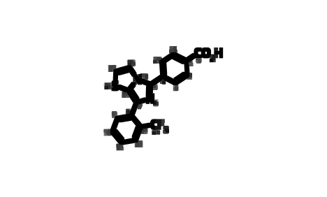 O=C(O)c1ccc(-c2nc(-c3ccccc3C(F)(F)F)c3sccn23)cc1